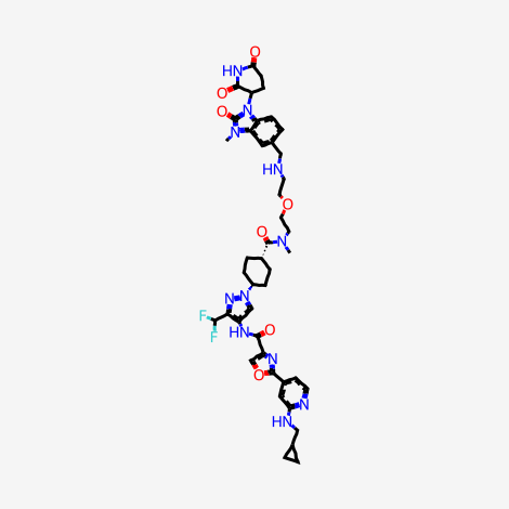 CN(CCOCCNCc1ccc2c(c1)n(C)c(=O)n2C1CCC(=O)NC1=O)C(=O)[C@H]1CC[C@H](n2cc(NC(=O)c3coc(-c4ccnc(NCC5CC5)c4)n3)c(C(F)F)n2)CC1